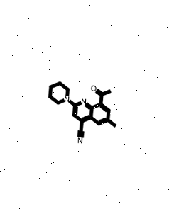 CC(=O)c1cc(C)cc2c(C#N)cc(N3CCCCC3)nc12